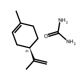 C=C(C)[C@H]1CC=C(C)CC1.NC(N)=O